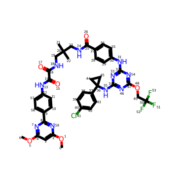 COc1cc(OC)nc(-c2ccc(NC(=O)C(=O)NCC(C)(C)CNC(=O)c3ccc(Nc4nc(NC5(c6ccc(Cl)cc6)CC5)nc(OCC(F)(F)F)n4)cc3)cc2)n1